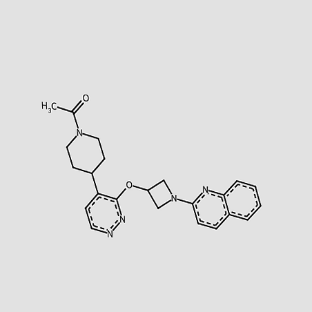 CC(=O)N1CCC(c2ccnnc2OC2CN(c3ccc4ccccc4n3)C2)CC1